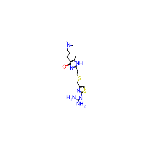 Cc1[nH]c(CCSCc2csc(N=C(N)N)n2)nc(=O)c1CCCN(C)C